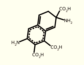 Nc1cc2c(c(C(=O)O)c1C(=O)O)=CC(N)(C(=O)O)CC=2